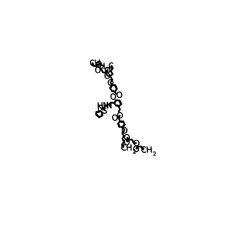 C=CCCC(COc1ccc(C(=O)OCCc2ccc(OC(=O)c3ccc(OCC(CCC=C)OC(=O)CCOC(=O)C=C)cc3)c(/C=N/Nc3nc4ccccc4s3)c2)cc1)OC(=O)CCOC(=O)C=C